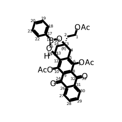 CC(=O)OCC[C@]12Cc3c(OC(C)=O)c4c(c(OC(C)=O)c3[C@H](C1)OB(c1ccccc1)O2)C(=O)c1ccccc1C4=O